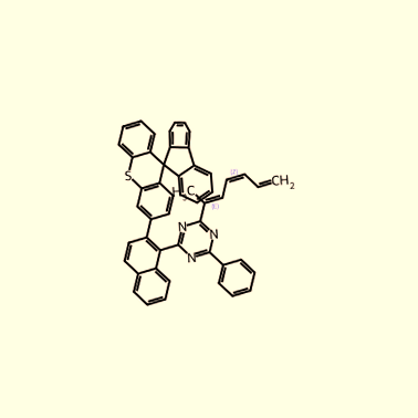 C=C/C=C\C=C(/C)c1nc(-c2ccccc2)nc(-c2c(-c3ccc4c(c3)Sc3ccccc3C43c4ccccc4-c4ccccc43)ccc3ccccc23)n1